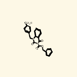 O=C(O)c1ccc(Cn2c(=O)n(C(=O)OCc3ccccc3)c(=O)c3ccccc32)cc1